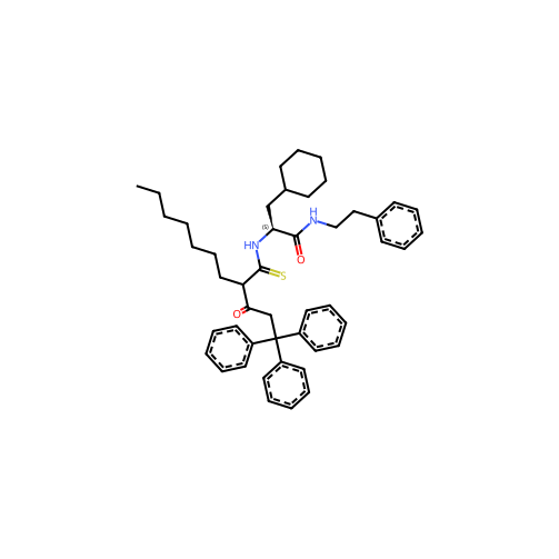 CCCCCCCC(C(=O)CC(c1ccccc1)(c1ccccc1)c1ccccc1)C(=S)N[C@@H](CC1CCCCC1)C(=O)NCCc1ccccc1